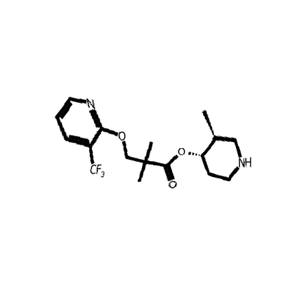 C[C@H]1CNCC[C@@H]1OC(=O)C(C)(C)COc1ncccc1C(F)(F)F